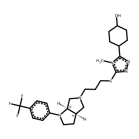 Cn1c(SCCCN2C[C@H]3CCN(c4ccc(C(F)(F)F)cc4)[C@H]3C2)nnc1C1CCC(O)CC1